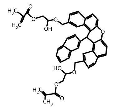 C=C(C)C(=O)OCC(O)OCc1ccc2ccc3c(c2c1)C(c1ccc2ccccc2c1)c1c(ccc2ccc(COC(O)COC(=O)C(=C)C)cc12)O3